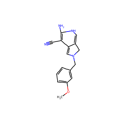 COc1cccc(CN2C=C3C(=CNC(N)=C3C#N)C2)c1